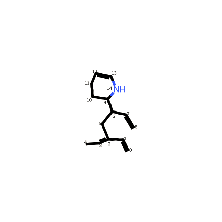 C=C/C(=C/C)CC(C=C)C1CCC=CN1